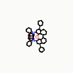 c1ccc(-c2cc(-n3c4ccccc4c4ccccc43)c3oc4c(-n5c6ccccc6c6ccccc65)cc(-c5ccccc5)c5cccc(c6cccc2c36)c54)cc1